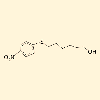 O=[N+]([O-])c1ccc(SCCCCCCO)cc1